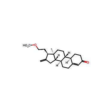 C=C1C[C@H]2[C@@H]3CCC4=CC(=O)CC[C@@H]4[C@H]3CC[C@]2(C)[C@@H]1CCOC(=O)O